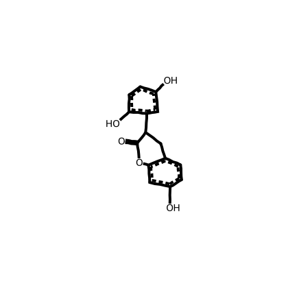 O=C1Oc2cc(O)ccc2CC1c1cc(O)ccc1O